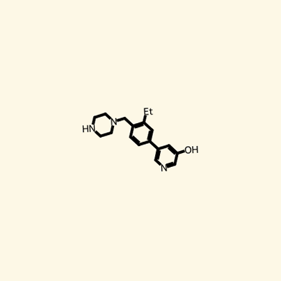 CCc1cc(-c2cncc(O)c2)ccc1CN1CCNCC1